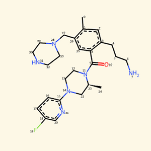 Cc1cc(CCCN)c(C(=O)N2CCN(c3ccc(F)cn3)C[C@@H]2C)cc1CN1CCNCC1